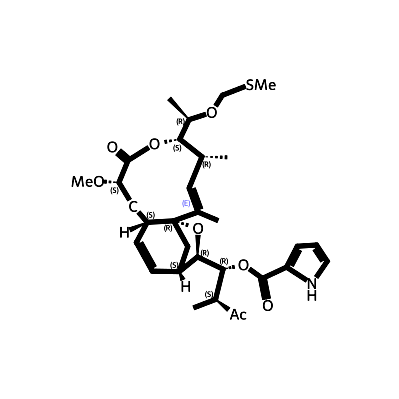 CO[C@H]1C[C@H]2C=C[C@@H]3C[C@]2(O[C@H]3[C@H](OC(=O)c2ccc[nH]2)[C@H](C)C(C)=O)/C(C)=C/[C@@H](C)[C@@H]([C@@H](C)OCSC)OC1=O